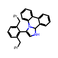 CC(C)Cc1cccc(CC(C)C)c1C1=CNC2c3ccccc3-c3ccccc3N12